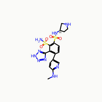 CNc1ccc(-c2ccc(S(=O)(=O)N[C@@H]3CCNC3)c(S(N)(=O)=O)c2-c2nn[nH]n2)cn1